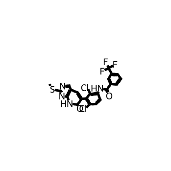 CSc1ncc2cc(-c3c(Cl)ccc(NC(=O)c4cccc(C(F)(F)F)c4)c3Cl)c(=O)[nH]c2n1